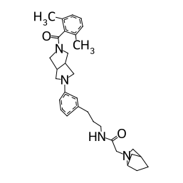 Cc1cccc(C)c1C(=O)N1CC2CN(c3cccc(CCCNC(=O)CN4CC5CCC4C5)c3)CC2C1